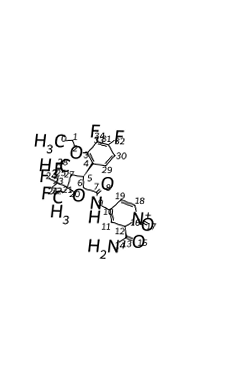 CCOc1c([C@H]2C(C(=O)NC3=C[C@H](C(N)=O)[N+](=O)C=C3)O[C@@](C)(C(F)(F)F)[C@@H]2C)ccc(F)c1F